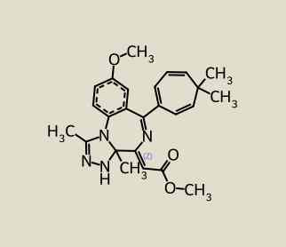 COC(=O)/C=C1\N=C(C2=CC=CC(C)(C)C=C2)c2cc(OC)ccc2N2C(C)=NNC12C